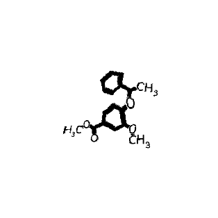 COC(=O)c1ccc(OC(C)c2ccccc2)c(OC)c1